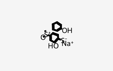 C[S+]([O-])c1ccc([S-])c(O)c1.Oc1ccccc1.[Na+]